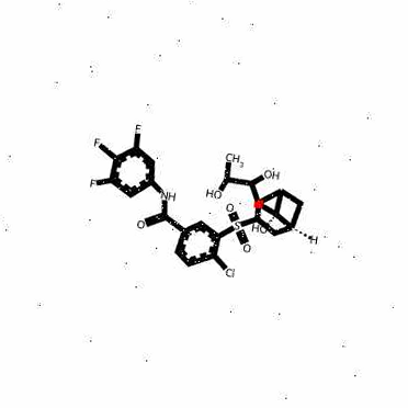 CC(O)C(O)C[C@@]1(O)C2CC(S(=O)(=O)c3cc(C(=O)Nc4cc(F)c(F)c(F)c4)ccc3Cl)C[C@@H]1C2